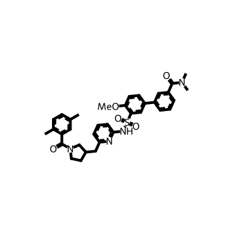 COc1ccc(-c2cccc(C(=O)N(C)C)c2)cc1S(=O)(=O)Nc1cccc(CC2CCN(C(=O)c3cc(C)ccc3C)C2)n1